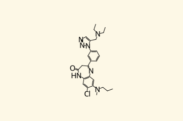 CCCN(C)c1cc2c(cc1Cl)NC(=O)CC(c1cccc(-n3nncc3CN(CC)CC)c1)=N2